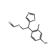 Cc1cc(O)ccc1C(COC=O)c1cncs1